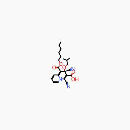 CCCCCCOC(=O)C1=C2C=CC=CN2C(C#N)=C(C(=O)O)C1(C#N)OCC(C)C